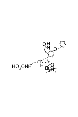 C[SiH2]OC(O[SiH2]C)C(C)(C)[C@H](CNCCCCCNC(=O)O)c1ccc(OCc2ccccc2)c2[nH]c(=O)ccc12